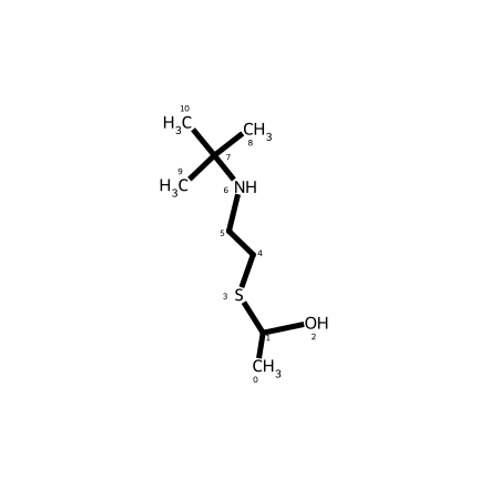 CC(O)SCCNC(C)(C)C